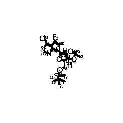 CC1(C)O[C@@H]2[C@H](O1)[C@@H](CO[Si](C)(C)C(C)(C)C)O[C@H]2n1cc(F)c2c(Cl)ncnc21